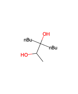 CCCCC(O)(CCCC)C(C)O